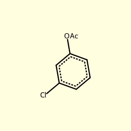 CC(=O)Oc1cccc(Cl)c1